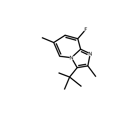 Cc1cc(F)c2nc(C)c(C(C)(C)C)n2c1